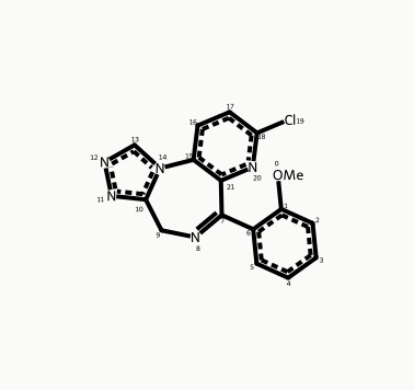 COc1ccccc1C1=NCc2nncn2-c2ccc(Cl)nc21